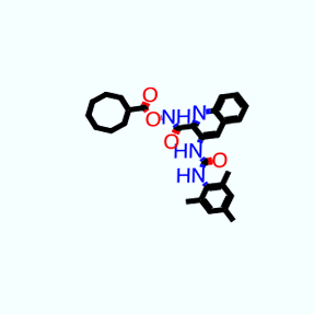 Cc1cc(C)c(NC(=O)Nc2cc3ccccc3nc2C(=O)NOC(=O)C2CCCCCCC2)c(C)c1